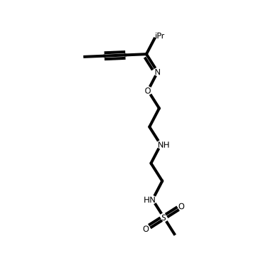 CC#C/C(=N\OCCNCCNS(C)(=O)=O)C(C)C